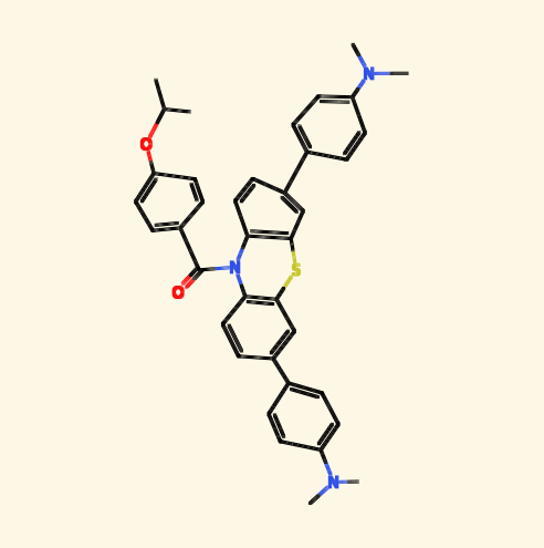 CC(C)Oc1ccc(C(=O)N2c3ccc(-c4ccc(N(C)C)cc4)cc3Sc3cc(-c4ccc(N(C)C)cc4)ccc32)cc1